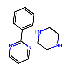 C1CNCCN1.c1ccc(-c2ncccn2)cc1